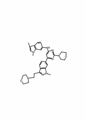 Cc1cn(C)c2cc(Nc3cc(-c4ccc5c(CCN6CCOCC6)nn(C)c5c4)nc(N4CCOCC4)n3)ccc12